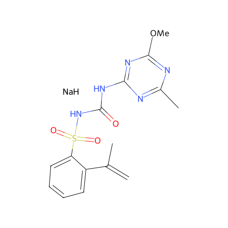 C=C(C)c1ccccc1S(=O)(=O)NC(=O)Nc1nc(C)nc(OC)n1.[NaH]